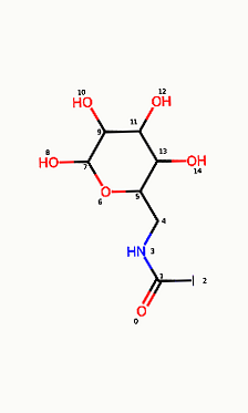 O=C(I)NCC1OC(O)C(O)C(O)C1O